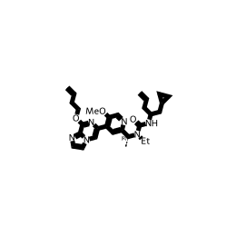 C=CCCOc1nc(-c2cc([C@@H](C)N(CC)C(=O)NC(CC=C)CC3CC3)ncc2OC)cn2ccnc12